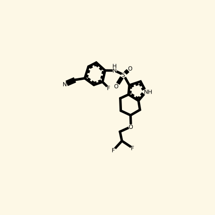 N#Cc1ccc(NS(=O)(=O)c2c[nH]c3c2CCC(OCC(F)F)C3)c(F)c1